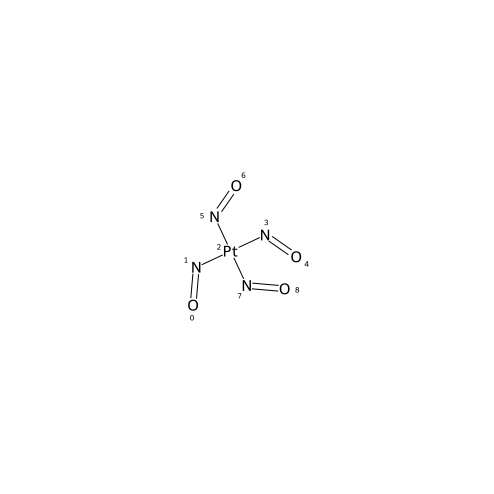 O=[N][Pt]([N]=O)([N]=O)[N]=O